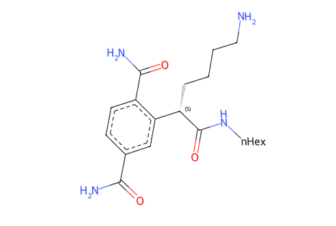 CCCCCCNC(=O)[C@@H](CCCCN)c1cc(C(N)=O)ccc1C(N)=O